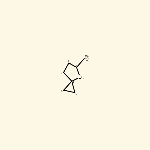 [CH2]CC1CCC2(CC2)O1